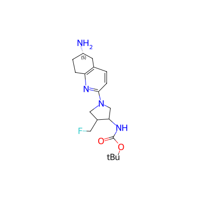 CC(C)(C)OC(=O)NC1CN(c2ccc3c(n2)CC[C@H](N)C3)CC1CF